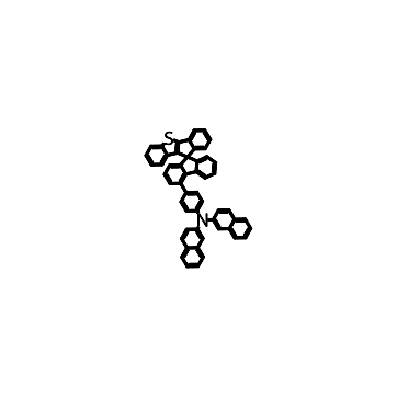 c1ccc2c(c1)-c1sc3ccccc3c1C21c2ccccc2-c2c(-c3ccc(N(c4ccc5ccccc5c4)c4ccc5ccccc5c4)cc3)cccc21